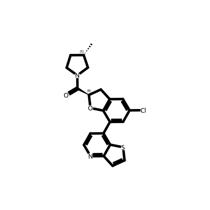 C[C@H]1CCN(C(=O)[C@H]2Cc3cc(Cl)cc(-c4ccnc5ccsc45)c3O2)C1